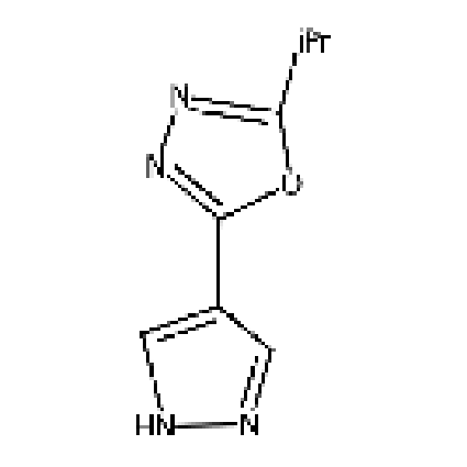 CC(C)c1nnc(-c2cn[nH]c2)o1